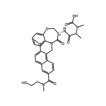 COc1ccc2cc(C(=O)N(C)CCO)ccc2c1CN1C(=O)[C@@H](NC(=O)C(C)N(C)C(=O)O)COc2ccccc21